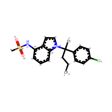 CCC(CCC(F)(F)F)(c1ccc(Cl)cc1)n1ccc2c(NS(C)(=O)=O)cccc21